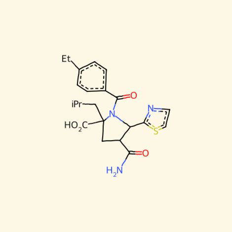 CCc1ccc(C(=O)N2C(c3nccs3)C(C(N)=O)CC2(CC(C)C)C(=O)O)cc1